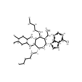 CCCCOC[C@H]1O[C@@H](n2cnc3c(Cl)ncnc32)[C@H](CO)[C@H](OCCCC)[C@@H](OCCCC)[C@@H]1OCCCC